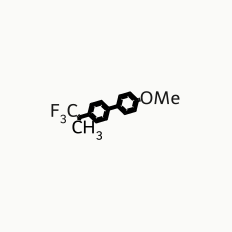 COc1ccc(-c2ccc(C(C)C(F)(F)F)cc2)cc1